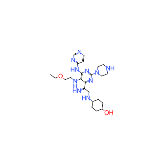 CCOCCNc1c(Nc2ccncn2)nc(N2CCNCC2)nc1C(=N)CNC1CCC(O)CC1